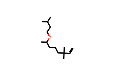 C=CC(C)(C)CCCC(C)OCCC(C)C